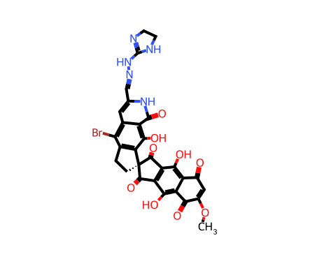 COC1=CC(=O)c2c(O)c3c(c(O)c2C1=O)C(=O)[C@]1(CCc2c1c(O)c1c(=O)[nH]c(C=NNC4=NCCN4)cc1c2Br)C3=O